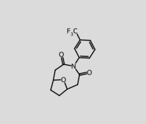 O=C1CC2CCC(CC(=O)N1c1cccc(C(F)(F)F)c1)O2